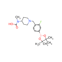 CN(C(=O)O)C1CCN(Cc2ccc(B3OC(C)(C)C(C)(C)O3)cc2F)CC1